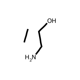 CC.NCCO